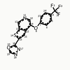 FC(F)(F)c1ccc(Oc2cncc3sc(-c4nnco4)cc23)cc1